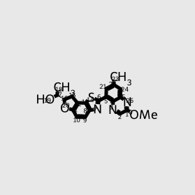 COc1cnc2c(-c3nc4ccc5c(c4s3)C[C@@H](C(C)O)O5)cc(C)cc2n1